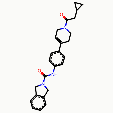 O=C(CC1CC1)N1CC=C(c2ccc(NC(=O)N3Cc4ccccc4C3)cc2)CC1